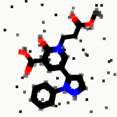 COC(=O)CCn1cc(-c2ccnn2-c2ccccc2)cc(C(=O)O)c1=O